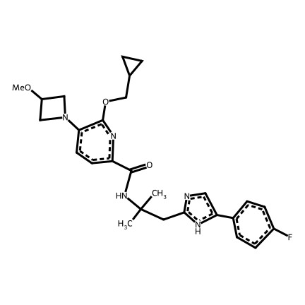 COC1CN(c2ccc(C(=O)NC(C)(C)Cc3ncc(-c4ccc(F)cc4)[nH]3)nc2OCC2CC2)C1